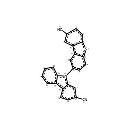 N#Cc1ccc2sc3ccc(-n4c5ccccc5c5ccc(C#N)cc54)cc3c2c1